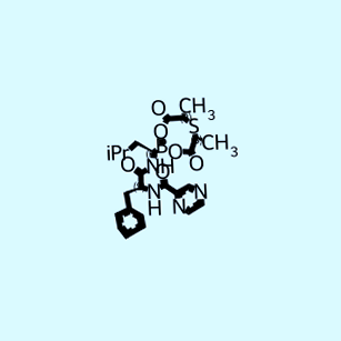 CC(C)C[C@H](NC(=O)[C@H](Cc1ccccc1)NC(=O)c1cnccn1)B1OC(=O)[C@H](C)S[C@H](C)C(=O)O1